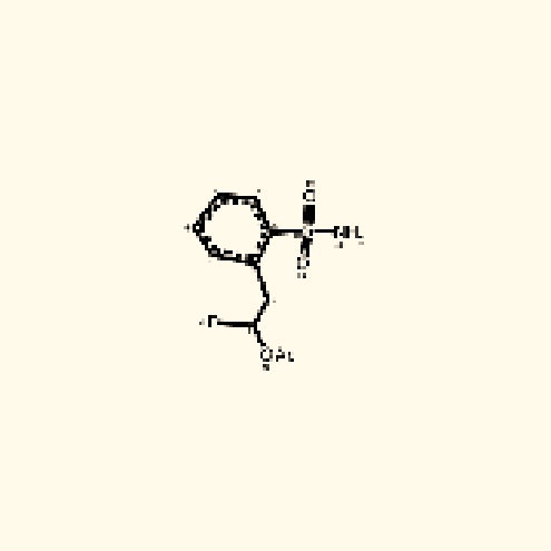 CC(=O)OC(F)Cc1ccccc1S(N)(=O)=O